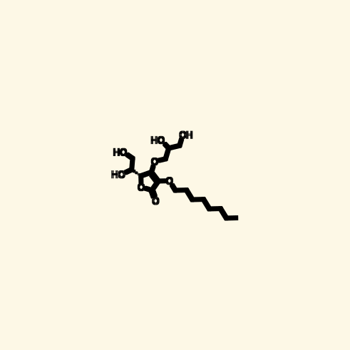 CCCCCCCCOC1=C(OCC(O)CO)[C@@H](C(O)CO)OC1=O